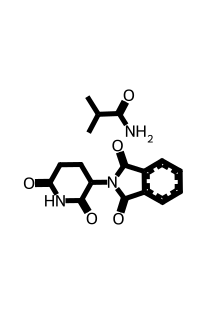 CC(C)C(N)=O.O=C1CCC(N2C(=O)c3ccccc3C2=O)C(=O)N1